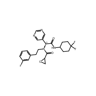 O=C(NC1CCC(F)(F)CC1)[C@H](c1cncnc1)N(CCc1cccc(F)c1)C(=O)C1CO1